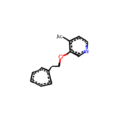 CC(=O)c1ccncc1OCc1ccccc1